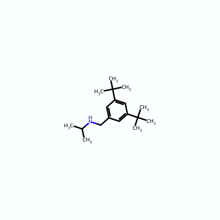 CC(C)NCc1cc(C(C)(C)C)cc(C(C)(C)C)c1